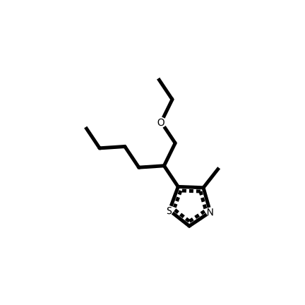 CCCCC(COCC)c1scnc1C